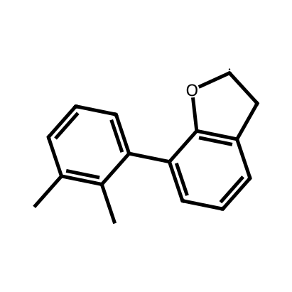 Cc1cccc(-c2cccc3c2O[CH]C3)c1C